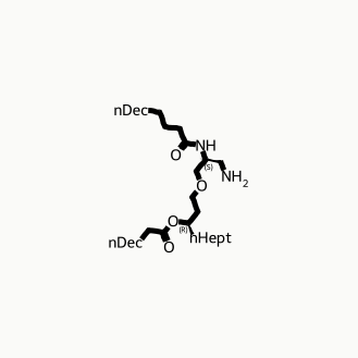 CCCCCCCCCCCCCC(=O)N[C@@H](CN)COCC[C@@H](CCCCCCC)OC(=O)CCCCCCCCCCC